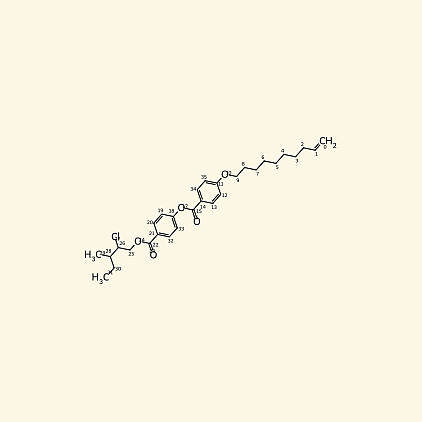 C=CCCCCCCCCOc1ccc(C(=O)Oc2ccc(C(=O)OCC(Cl)C(C)CC)cc2)cc1